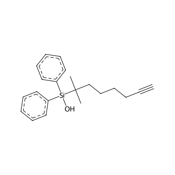 C#CCCCCC(C)(C)[Si](O)(c1ccccc1)c1ccccc1